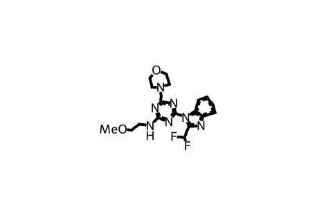 COCCNc1nc(N2CCOCC2)nc(-n2c(C(F)F)nc3ccccc32)n1